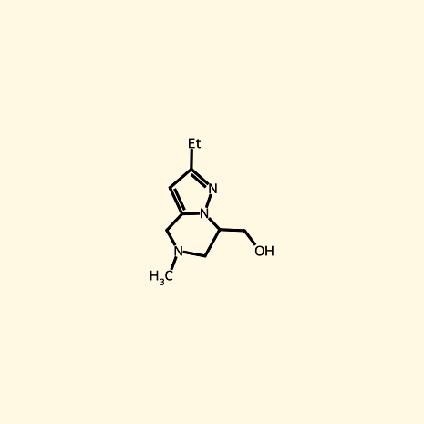 CCc1cc2n(n1)C(CO)CN(C)C2